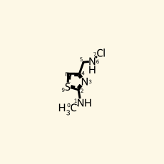 CNc1nc(CNCl)cs1